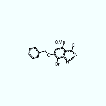 COc1cc(OCc2ccccc2)c(Br)c2ncnc(Cl)c12